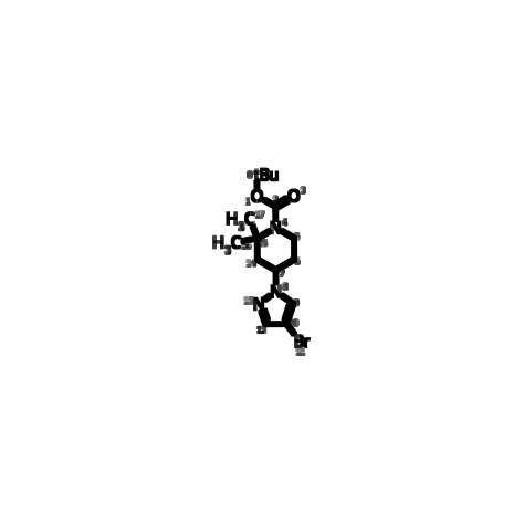 CC(C)(C)OC(=O)N1CCC(n2cc(Br)cn2)CC1(C)C